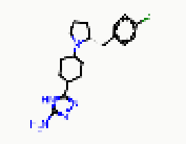 Nc1nnc(C2CCC(N3CCC[C@@H]3Cc3ccc(Cl)cc3)CC2)[nH]1